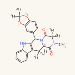 [2H]C1([2H])Oc2ccc(C3c4[nH]c5ccccc5c4C([2H])([2H])[C@@H]4C(=O)N(C)C([2H])([2H])C(=O)N34)cc2O1